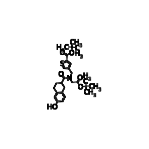 CC(C)(C)OC(=O)CN(Cc1csc(C(=O)OC(C)(C)C)c1)C(=O)C1CCc2cc(O)ccc2C1